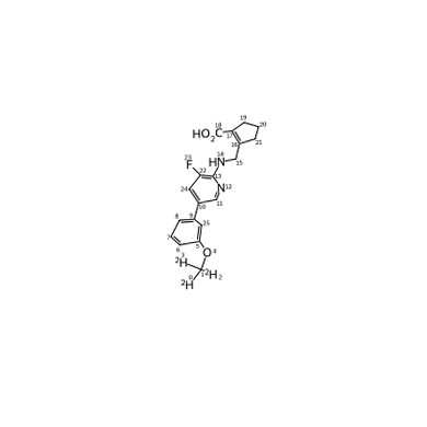 [2H]C([2H])([2H])Oc1cccc(-c2cnc(NCC3=C(C(=O)O)CCC3)c(F)c2)c1